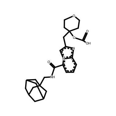 O=C(O)OC1(Cc2cn3c(C(=O)NCC45CC6CC(CC(C6)C4)C5)cccc3n2)CCOCC1